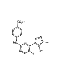 Cc1ncc(-c2nc(Nc3ccc(C(=O)O)cc3)ncc2F)n1C(C)C